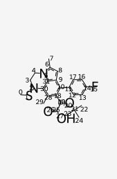 CSN1CCn2c(C)cc3c(-c4ccc(F)cc4)c([C@H](OC(C)(C)C)C(=O)O)c(C)c1c32